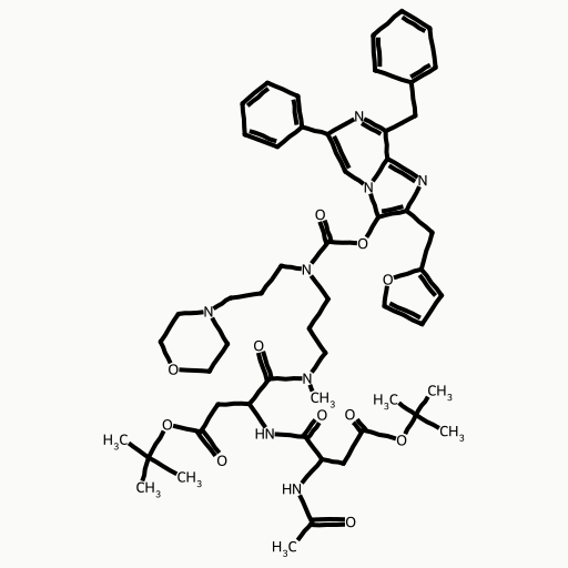 CC(=O)NC(CC(=O)OC(C)(C)C)C(=O)NC(CC(=O)OC(C)(C)C)C(=O)N(C)CCCN(CCCN1CCOCC1)C(=O)Oc1c(Cc2ccco2)nc2c(Cc3ccccc3)nc(-c3ccccc3)cn12